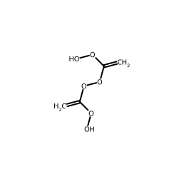 C=C(OO)OOC(=C)OO